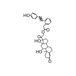 CC12CCC(=O)C=C1CCC1C2C(O)CC2(C)C1CCC2(O)C(=O)COC(=O)Cc1ccccc1/N=N/c1ccc(O)cc1